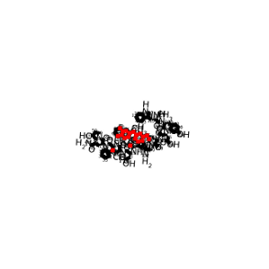 CCCC[C@@H](C(=O)N1C[C@H](O)C[C@@H]1C(=O)N[C@@H](CC(=O)O)C(=O)N[C@H](C(=O)N(C)C(Cc1ccccc1)C(=O)N[C@@H](CCC(N)=O)C(=O)N1CC[C@@H](O)C1)C(C)C)N(C)C(=O)[C@H](Cc1ccccc1)N(C)C(=O)[C@H](Cc1cc(F)c(F)c(F)c1)NC(=O)CSC[C@H](NC(=O)[C@H](CC(=O)O)NC(=O)[C@H](Cc1ccc(O)cc1)NC(=O)[C@H](Cc1c[nH]c2ccccc12)NC)C(=O)NCC(N)=O